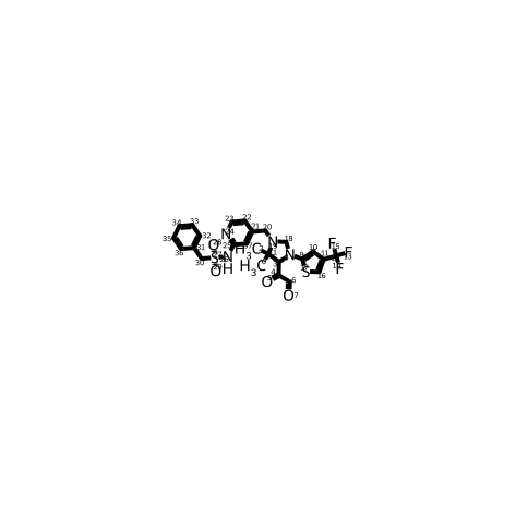 CC1(C)C(C(=O)C=O)N(c2cc(C(F)(F)F)cs2)CN1Cc1ccnc(NS(=O)(=O)Cc2ccccc2)c1